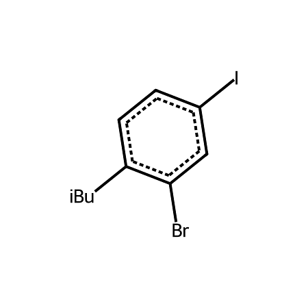 CCC(C)c1ccc(I)cc1Br